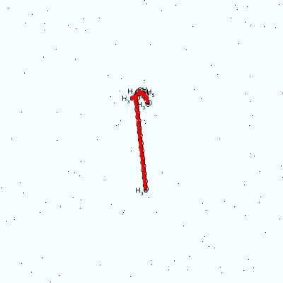 CCCN(CCC(=O)N[C@H](C(=O)N[C@@H](C)C(=O)Nc1ccc(COC(C)=O)cc1)C(C)C)C(=O)CCOCCOCCOCCOCCOCCOCCOCCOCCOCCOCCOCCOCCOCCOCCOCCOCCOCCOCCOCCOCCOCCOCCOCCOC